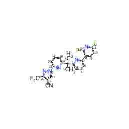 CC(C)(c1cccc(-c2ccc(F)nc2F)n1)c1cccc(-n2cc(C#N)c(C(F)(F)F)n2)n1